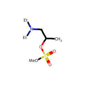 CCN(CC)CC(C)OS(=O)(=O)OC